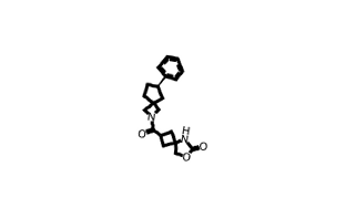 O=C1NC2(CO1)CC(C(=O)N1CC3(CC[C@@H](c4ccccc4)C3)C1)C2